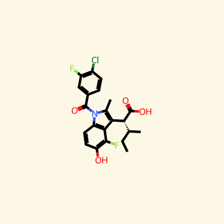 CCC(C)[C@@H](C(=O)O)c1c(C)n(C(=O)c2ccc(Cl)c(F)c2)c2ccc(O)c(F)c12